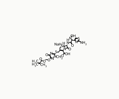 Cn1nc(OCOC(=O)C(C)(C)C)c(=O)nc1SCC1=C(C(=O)O)N2C(=O)[C@@H](NC(=O)C(=NO)c3csc(N)n3)[C@H]2SC1.[NaH]